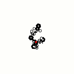 O=CN(OCCN1C(=O)c2ccccc2C1=O)c1cccc(-c2ccc([C@@]3(CC(=O)NOC4CCCCO4)CCCCS3(=O)=O)s2)c1